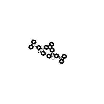 c1ccc2c(c1)Oc1cc(-n3c4ccccc4c4ccccc43)ccc1N2c1ccc2c3ccccc3c3ccc(N4c5ccccc5Oc5cc(-n6c7ccccc7c7ccccc76)ccc54)cc3c2c1